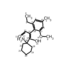 CCc1cc(C)cc(OC)c1/C(C=O)=C(\O)C1(N)CCCCC1